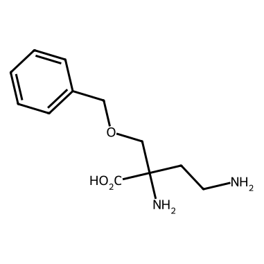 NCCC(N)(COCc1ccccc1)C(=O)O